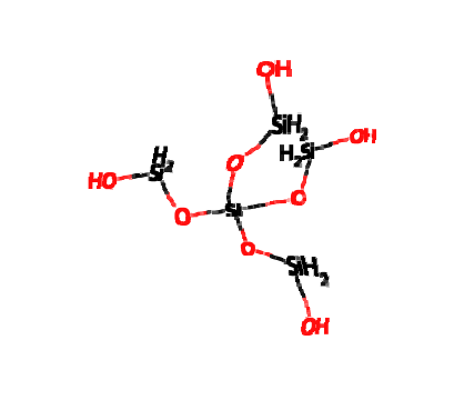 O[SiH2]O[Si](O[SiH2]O)(O[SiH2]O)O[SiH2]O